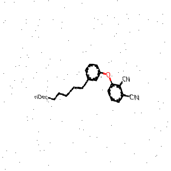 CCCCCCCCCCCCCCCc1cccc(Oc2cccc(C#N)c2C#N)c1